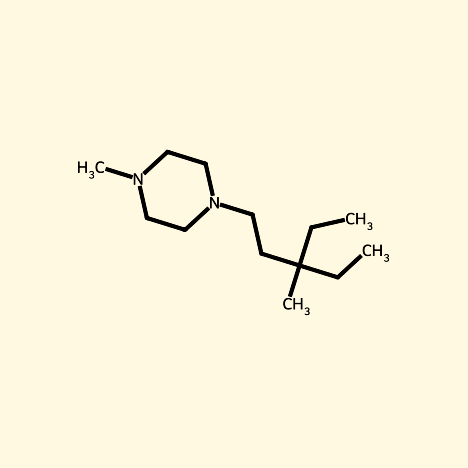 CCC(C)(CC)CCN1CCN(C)CC1